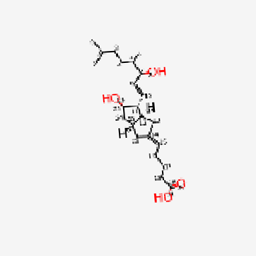 CC(C)CCC(C)[C@@H](O)/C=C/[C@@H]1[C@H]2C/C(=C/CCCC(=O)O)C[C@@H]2C[C@H]1O